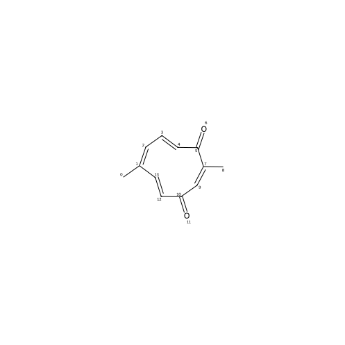 CC1=C/C=C/C(=O)/C(C)=C\C(=O)\C=C\1